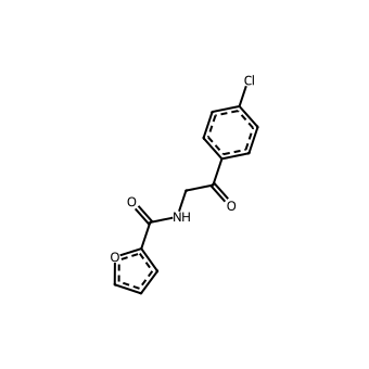 O=C(CNC(=O)c1ccco1)c1ccc(Cl)cc1